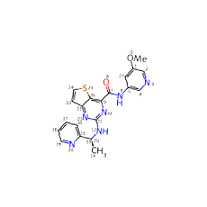 COc1cncc(NC(=O)c2nc(N[C@@H](C)c3ccccn3)nc3ccsc23)c1